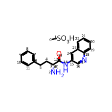 CS(=O)(=O)O.N[C@H](CCc1ccccc1)C(=O)Nc1cnc2ccccc2c1